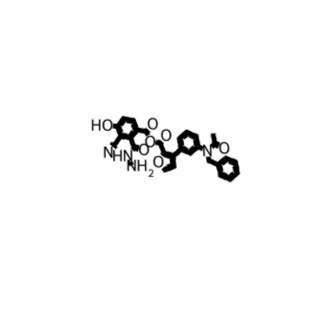 CC(=O)N(Cc1ccccc1)c1cccc(-c2ccoc2C(=O)OC(=O)c2ccc(O)c(C#N)c2C(=O)NN)c1